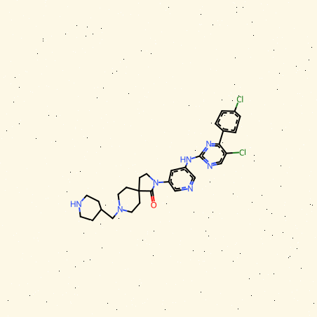 O=C1N(c2cncc(Nc3ncc(Cl)c(-c4ccc(Cl)cc4)n3)c2)CCC12CCN(CC1CCNCC1)CC2